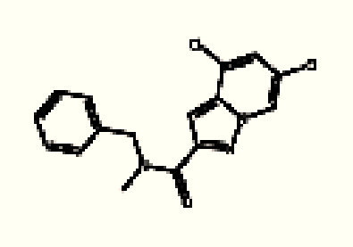 CN(Cc1ccccc1)C(=O)c1cc2c(Cl)cc(Cl)cn2n1